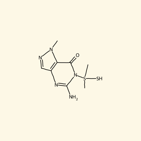 Cn1ncc2nc(N)n(S(C)(C)S)c(=O)c21